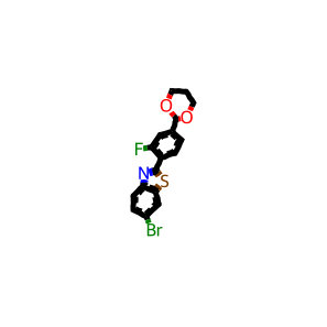 Fc1cc(C2OCCCO2)ccc1-c1nc2ccc(Br)cc2s1